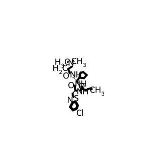 C=C(CN(C)C)C(=O)NC[C@@H](NC(=O)[C@H](Cc1nc2ccc(Cl)cc2s1)NC(=O)CCC)C1CCCC1